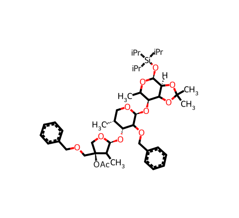 CC(=O)O[C@@]1(COCc2ccccc2)CO[C@@H](O[C@H]2C(OCc3ccccc3)[C@H](O[C@H]3C(C)O[C@@H](O[Si](C(C)C)(C(C)C)C(C)C)[C@H]4OC(C)(C)OC34)OC[C@H]2C)C1C